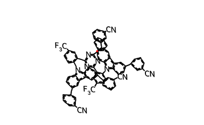 N#Cc1cccc(-c2ccc3c(c2)c2cc(-c4cccc(C#N)c4)ccc2n3-c2ccc(C(F)(F)F)cc2-c2nc(-c3ccccc3)nc(-c3cc(C(F)(F)F)ccc3-n3c4ccc(-c5cccc(C#N)c5)cc4c4cc(-c5cccc(C#N)c5)ccc43)n2)c1